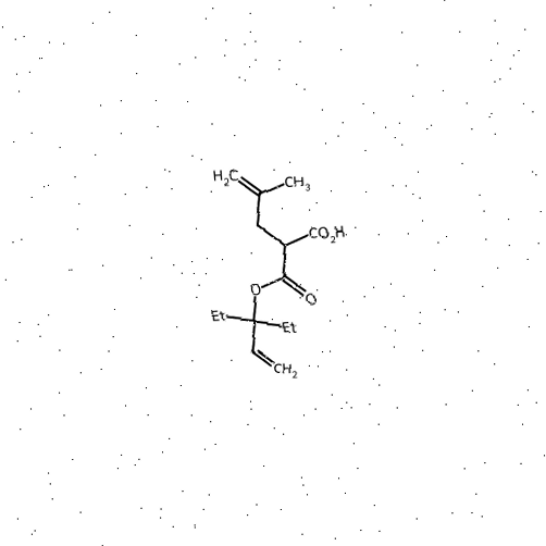 C=CC(CC)(CC)OC(=O)C(CC(=C)C)C(=O)O